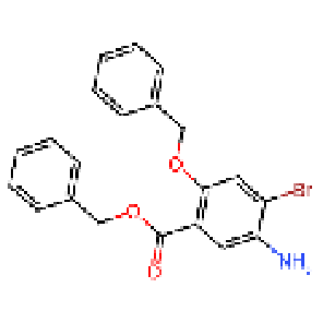 Nc1cc(C(=O)OCc2ccccc2)c(OCc2ccccc2)cc1Br